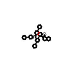 c1ccc(-c2ccc(N(c3ccc(-c4ccccc4)cc3)c3cc(-c4ccccc4)ccc3-c3cccc4oc5c6ccccc6ccc5c34)cc2)cc1